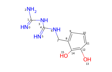 N=C(N)NC(=N)NCc1cccc(O)c1O